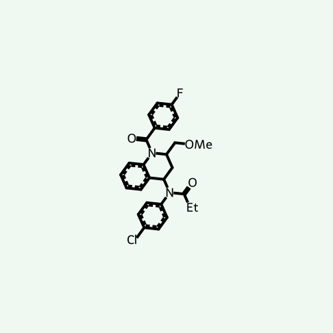 CCC(=O)N(c1ccc(Cl)cc1)C1CC(COC)N(C(=O)c2ccc(F)cc2)c2ccccc21